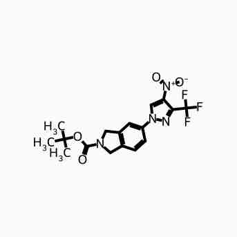 CC(C)(C)OC(=O)N1Cc2ccc(-n3cc([N+](=O)[O-])c(C(F)(F)F)n3)cc2C1